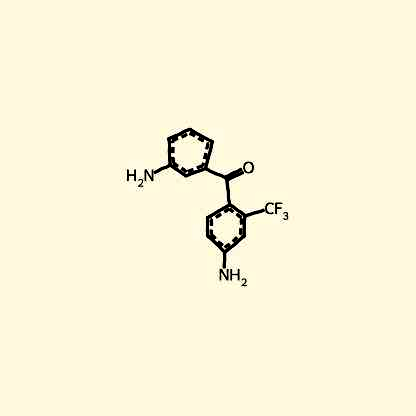 Nc1cccc(C(=O)c2ccc(N)cc2C(F)(F)F)c1